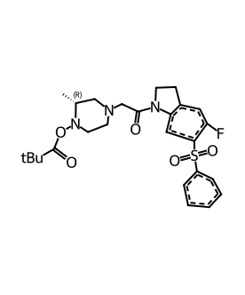 C[C@@H]1CN(CC(=O)N2CCc3cc(F)c(S(=O)(=O)c4ccccc4)cc32)CCN1OC(=O)C(C)(C)C